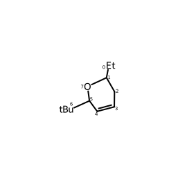 CCC1CC=CC(C(C)(C)C)O1